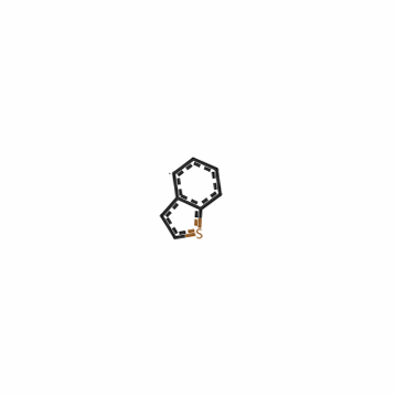 [c]1cccc2sccc12